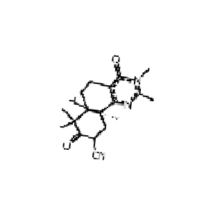 Cc1nc2c(c(=O)n1C)CC[C@H]1C(C)(C)C(=O)C(C#N)C[C@]21C